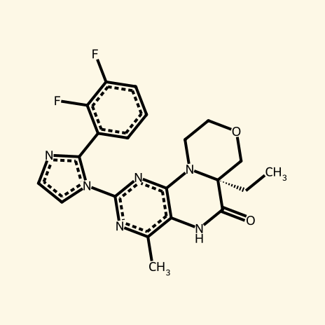 CC[C@@]12COCCN1c1nc(-n3ccnc3-c3cccc(F)c3F)nc(C)c1NC2=O